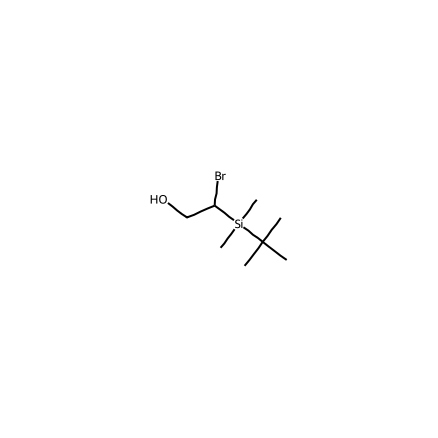 CC(C)(C)[Si](C)(C)C(Br)CO